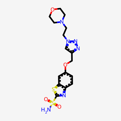 NS(=O)(=O)c1nc2ccc(OCc3cn(CCN4CCOCC4)nn3)cc2s1